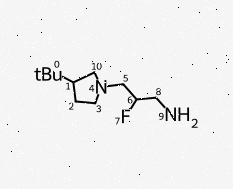 CC(C)(C)C1CCN(CC(F)CN)C1